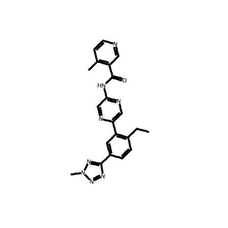 CCc1ccc(-c2nnn(C)n2)cc1-c1cnc(NC(=O)c2cnccc2C)cn1